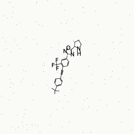 CC(C)(C)c1ccc(C#Cc2ccc(-c3noc(C4CCCN4)n3)cc2C(F)(F)F)cc1